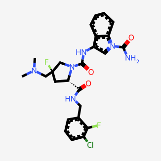 CN(C)C[C@@]1(F)C[C@@H](C(=O)NCc2cccc(Cl)c2F)N(C(=O)Nc2cn(C(N)=O)c3ccccc23)C1